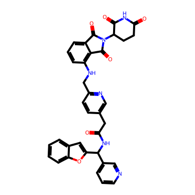 O=C1CCC(N2C(=O)c3cccc(NCc4ccc(CC(=O)NC(c5cccnc5)c5cc6ccccc6o5)cn4)c3C2=O)C(=O)N1